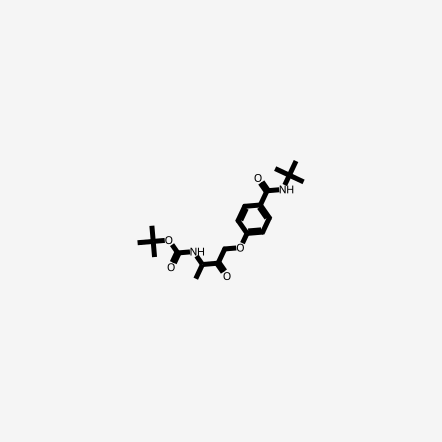 CC(NC(=O)OC(C)(C)C)C(=O)COc1ccc(C(=O)NC(C)(C)C)cc1